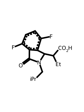 CCC(C(=O)O)C1c2c(F)ccc(F)c2C(=O)N1CC(C)C